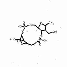 CC1OC2COP(=O)(O)OC3C(C)OC(COP(=O)(O)OC2C1CO)C3O